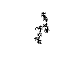 CC(NCc1ccc(C#Cc2cc(-c3nn(CCCN4CCN(c5ccccn5)CC4)c4c3CN(S(C)(=O)=O)CC4)ccc2Cl)cc1)c1ccccc1